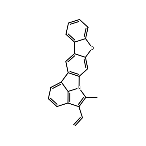 C=Cc1c(C)n2c3cc4oc5ccccc5c4cc3c3cccc1c32